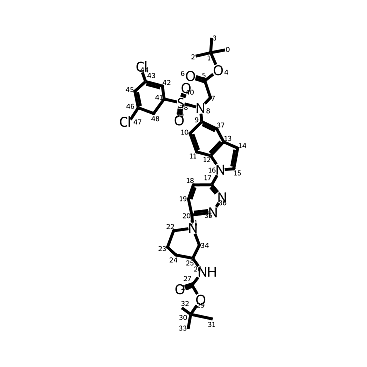 CC(C)(C)OC(=O)CN(c1ccc2c(ccn2-c2ccc(N3CCCC(NC(=O)OC(C)(C)C)C3)nn2)c1)S(=O)(=O)C1C=C(Cl)C=C(Cl)C1